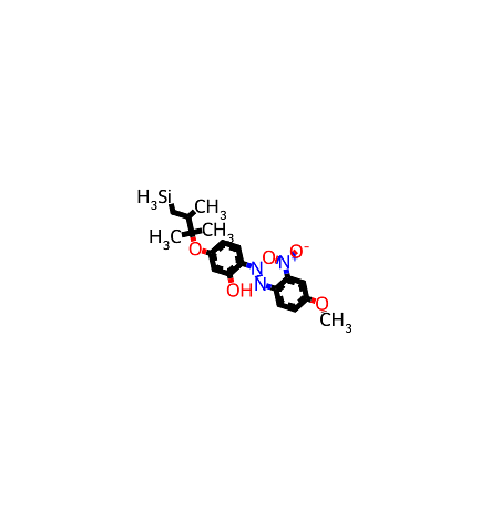 COc1ccc(N=Nc2ccc(OC(C)(C)C(C)C[SiH3])cc2O)c([N+](=O)[O-])c1